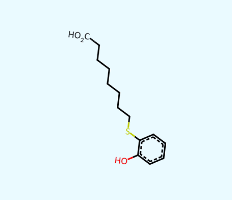 O=C(O)CCCCCCCSc1ccccc1O